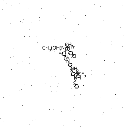 Cc1c(N(C)O)c(-c2cc(F)cc(N3CCN(c4ccc(NSc5ccc(NCCSc6ccccc6)c(S(=O)(=O)C(F)(F)F)c5)cc4)CC3)c2)c(-c2ccc(Cl)cc2)n1C(C)C